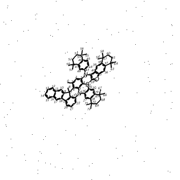 Cc1cc2c3c4c1C1(C)c5cc6ccccc6cc5-c5cccc(c51)N4c1cc4c(cc1B3c1oc3cc5c(cc3c1N2c1ccc2c(c1)C(C)(C)CCC2(C)C)C(C)(C)CCC5(C)C)C(C)(C)CCC4(C)C